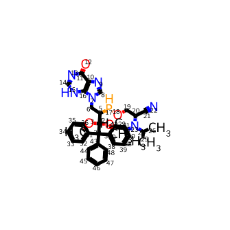 COC(OC)(C(Cn1cnc2c(=O)nc[nH]c21)POCC(C#N)N(C(C)C)C(C)C)C(c1ccccc1)(c1ccccc1)c1ccccc1